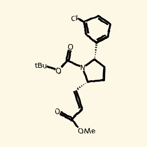 COC(=O)/C=C/[C@H]1CC[C@@H](c2cccc(Cl)c2)N1C(=O)OC(C)(C)C